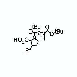 CC(C)C1CCN(C(=O)[C@@H](NC(=O)OC(C)(C)C)C(C)(C)C)C1C(=O)O